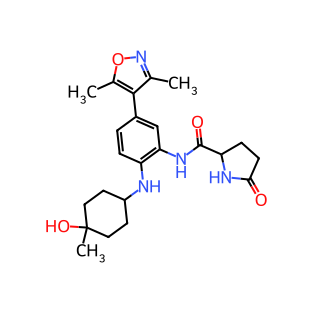 Cc1noc(C)c1-c1ccc(NC2CCC(C)(O)CC2)c(NC(=O)C2CCC(=O)N2)c1